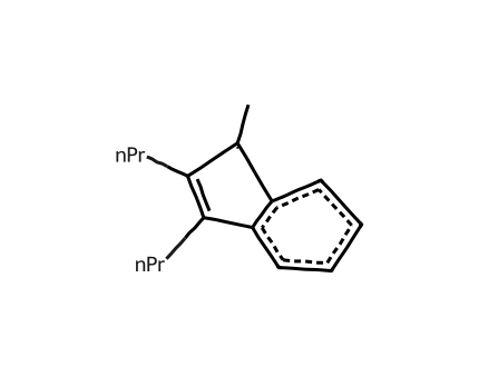 CCCC1=C(CCC)c2ccccc2[C]1C